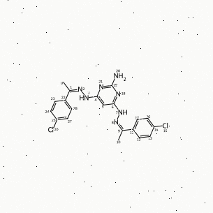 CC(=NNc1cc(NN=C(C)c2ccc(Cl)cc2)nc(N)n1)c1ccc(Cl)cc1